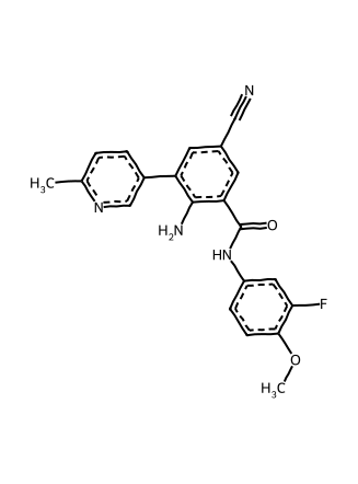 COc1ccc(NC(=O)c2cc(C#N)cc(-c3ccc(C)nc3)c2N)cc1F